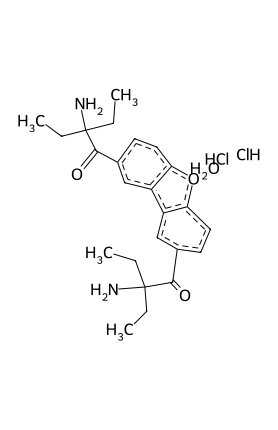 CCC(N)(CC)C(=O)c1ccc2oc3ccc(C(=O)C(N)(CC)CC)cc3c2c1.Cl.Cl.O